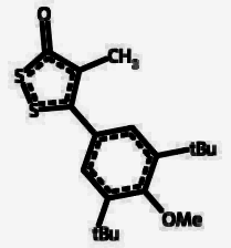 COc1c(C(C)(C)C)cc(-c2ssc(=O)c2C)cc1C(C)(C)C